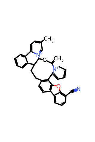 C=C1CC2C(CCc3ccc4c(oc5c(C#N)cccc54)c3-c3cccc[n+]31)c1ccccc1-c1ccc(C)c[n+]12